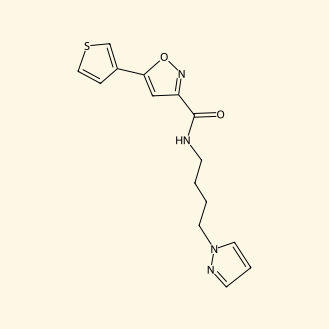 O=C(NCCCCn1cccn1)c1cc(-c2ccsc2)on1